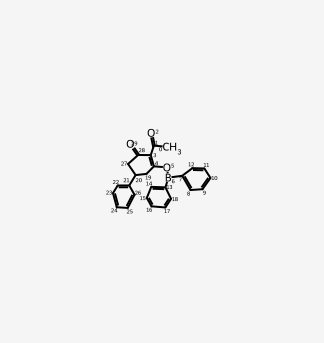 CC(=O)C1=C(OB(c2ccccc2)c2ccccc2)CC(c2ccccc2)CC1=O